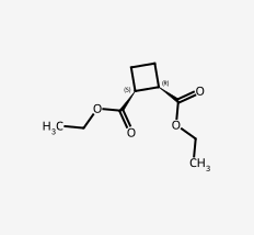 CCOC(=O)[C@H]1CC[C@H]1C(=O)OCC